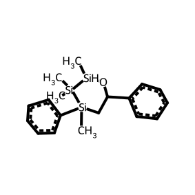 C[SiH]1OC(c2ccccc2)C[Si](C)(c2ccccc2)[Si]1(C)C